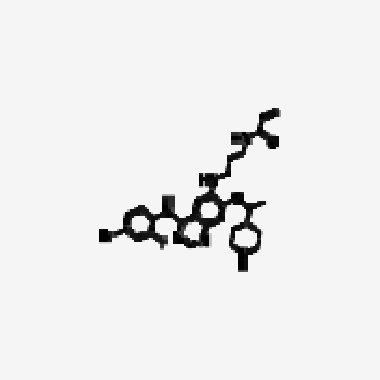 C=CC(=O)NCCCNc1cc2c(Nc3ccc(Br)cc3F)ncnc2cc1OC(C)C1CCNCC1